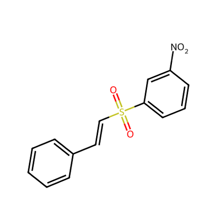 O=[N+]([O-])c1cccc(S(=O)(=O)C=Cc2ccccc2)c1